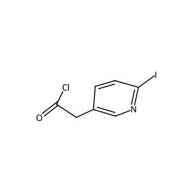 O=C(Cl)Cc1ccc(I)nc1